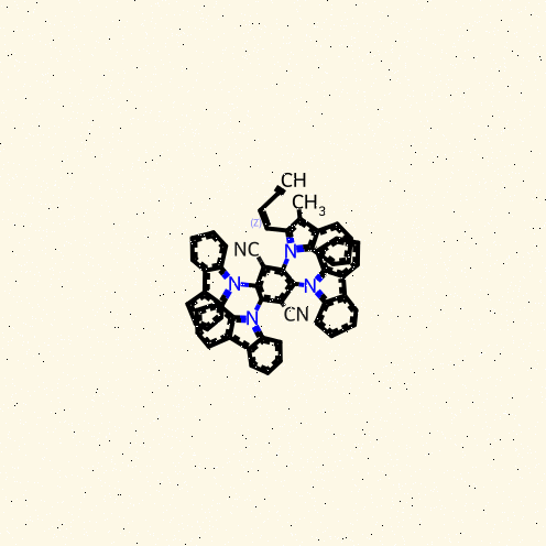 C#C/C=C\c1c(C)c2ccccc2n1-c1c(C#N)c(-n2c3ccccc3c3ccccc32)c(-n2c3ccccc3c3ccccc32)c(C#N)c1-n1c2ccccc2c2ccccc21